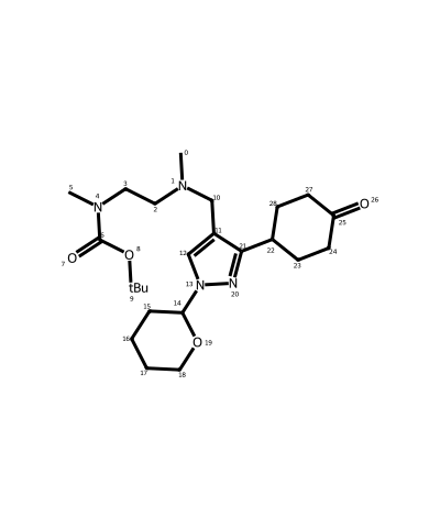 CN(CCN(C)C(=O)OC(C)(C)C)Cc1cn(C2CCCCO2)nc1C1CCC(=O)CC1